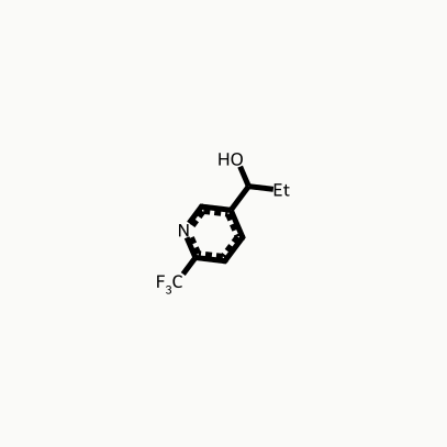 CC[C](O)c1ccc(C(F)(F)F)nc1